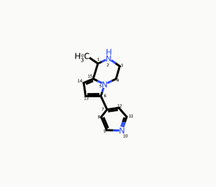 CC1NCCn2c(-c3ccncc3)ccc21